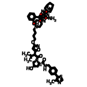 Cc1ncsc1-c1ccc(CNC(=O)[C@@H]2C[C@@H](O)CN2C(=O)C(c2cc(OCCCCN3CCC(c4cnc(N5C6CCC5CN(c5cc(-c7ccccc7O)nnc5N)C6)nc4)CC3)no2)C(C)C)cc1